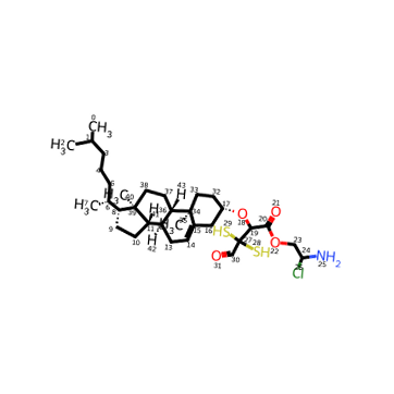 CC(C)CCC[C@@H](C)[C@H]1CC[C@H]2[C@@H]3CC=C4C[C@@H](OC(C(=O)OCC(N)Cl)C(S)(S)C=O)CC[C@]4(C)[C@H]3CC[C@]12C